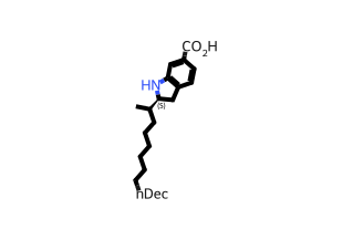 CCCCCCCCCCCCCCCCC(C)[C@@H]1Cc2ccc(C(=O)O)cc2N1